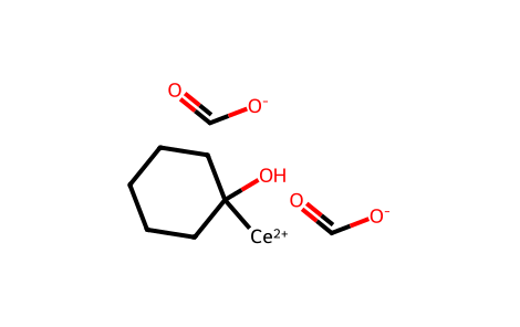 O=C[O-].O=C[O-].O[C]1([Ce+2])CCCCC1